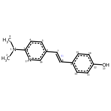 CN(C)c1ccc(/C=C/c2ccc(O)cc2)cn1